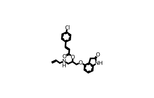 C=CCNCC(COc1cccc2c1CC(=O)N2)OC(=O)C=Cc1ccc(Cl)cc1